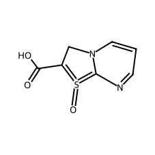 O=C(O)C1=S(=O)=C2N=CC=CN2C1